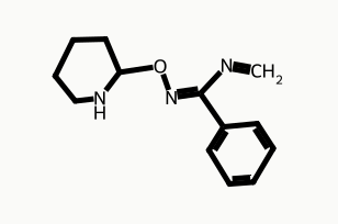 C=N/C(=N\OC1CCCCN1)c1ccccc1